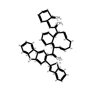 C=C(/C=c1/ccccc1=C)C1=c2\cccc\c2=C(C(=C)c2cc3c(cc2-c2cc4ccccc4s2)oc2ccccc23)\C=C\CC\C=C\1